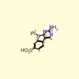 CC(C)n1c2cc(S(=O)(=O)O)ccc2c2cnc(N)nc21